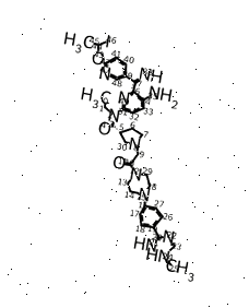 CCN(C(=O)[C@@H]1CCN(CC(=O)N2CCN(c3ccc(C(=N)/N=C\NC)cc3)CC2)C1)c1ccc(N)c(C(=N)c2ccc(OC(C)I)nc2)n1